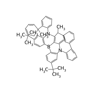 CC1CC=C2C3=C1N(c1ccccc1C1(C)C=CC=CC1)c1cc(C(C)(C)C)ccc1B3c1ccc(C(C)(C)C)cc1N2c1ccccc1-c1ccccc1